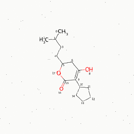 CC(C)CCC1CC(O)=C(C2CCCC2)C(=O)O1